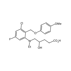 CCN(CC(O)CCC(=O)O)c1cc(F)cc(Cl)c1COc1ccc(OC)cc1